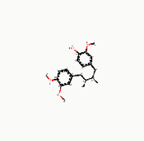 COc1cc(C[C@@H](C)[C@@H](C)Cc2ccc(OC)c(OC)c2)ccc1O